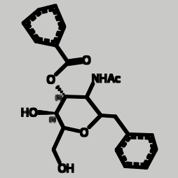 CC(=O)NC1C(Cc2ccccc2)OC(CO)[C@@H](O)[C@@H]1OC(=O)c1ccccc1